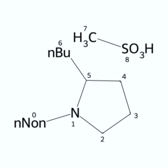 CCCCCCCCCN1CCCC1CCCC.CS(=O)(=O)O